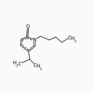 CCCCCn1cc(C(C)C)ccc1=O